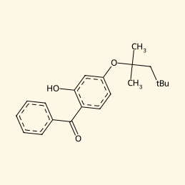 CC(C)(C)CC(C)(C)Oc1ccc(C(=O)c2ccccc2)c(O)c1